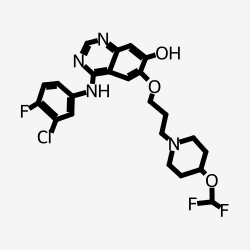 Oc1cc2ncnc(Nc3ccc(F)c(Cl)c3)c2cc1OCCCN1CCC(OC(F)F)CC1